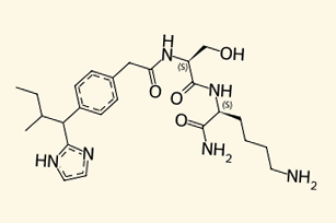 CCC(C)C(c1ccc(CC(=O)N[C@@H](CO)C(=O)N[C@@H](CCCCN)C(N)=O)cc1)c1ncc[nH]1